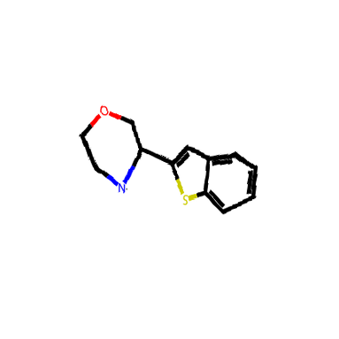 c1ccc2sc(C3COCC[N]3)cc2c1